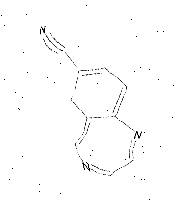 N#CC1=CC=C2N=CC=NC=C2C1